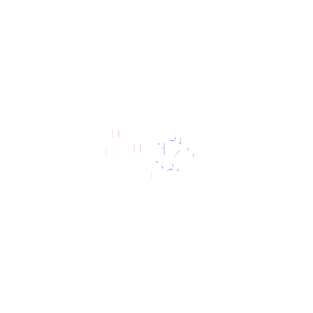 CC([C@H](O)[C@H](O)[C@H](C)CO)n1cnc2c(NC3CCCCC3)ncnc21